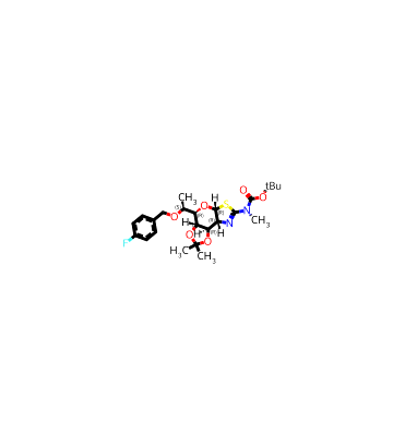 C[C@H](OCc1ccc(F)cc1)[C@H]1O[C@@H]2SC(N(C)C(=O)OC(C)(C)C)=N[C@@H]2[C@H]2OC(C)(C)O[C@@H]21